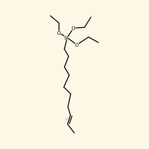 C/C=C/CCCCCCC[Si](OCC)(OCC)OCC